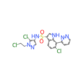 O=S(=O)(Nc1cnn(CCCl)c1Cl)c1c[nH]c2c(-c3cccnn3)c(Cl)ccc12